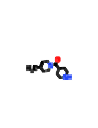 CC1=CCN(C(=O)C2CCNCC2)CC1